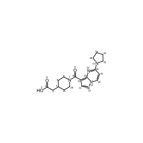 O=C(O)CC1CCN(C(=O)c2cnn3ccc(N4CCCC4)nc23)CC1